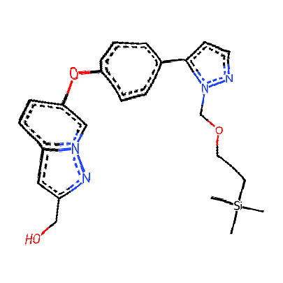 C[Si](C)(C)CCOCn1nccc1-c1ccc(Oc2ccc3cc(CO)nn3c2)cc1